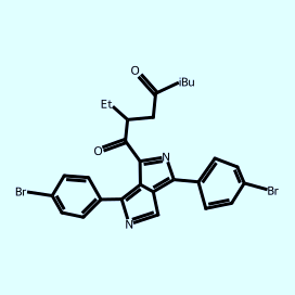 CCC(C)C(=O)CC(CC)C(=O)C1=NC(c2ccc(Br)cc2)=C2C=NC(c3ccc(Br)cc3)=C12